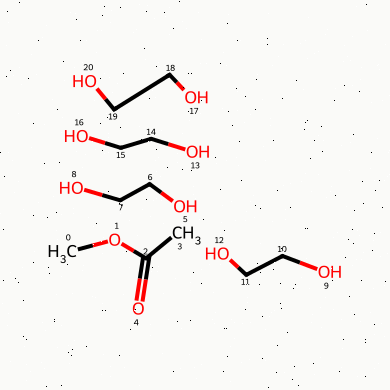 COC(C)=O.OCCO.OCCO.OCCO.OCCO